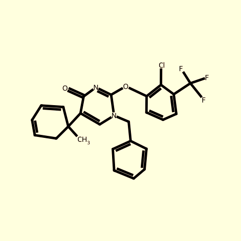 CC1(c2cn(Cc3ccccc3)c(Oc3cccc(C(F)(F)F)c3Cl)nc2=O)C=CC=CC1